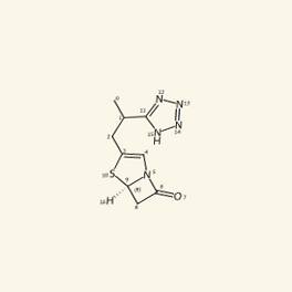 CC(CC1=CN2C(=O)C[C@H]2S1)c1nnn[nH]1